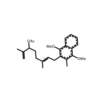 C=C(C)C(CC/C(C)=C/Cc1c(C)c(OC)c2ccccc2c1OC)OC(C)=O